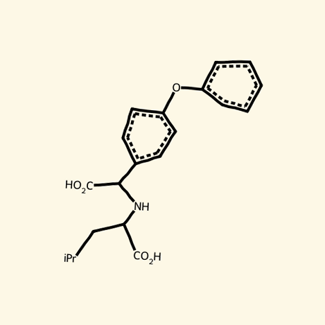 CC(C)CC(NC(C(=O)O)c1ccc(Oc2ccccc2)cc1)C(=O)O